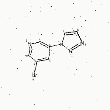 Brc1cncc(-n2ccnn2)c1